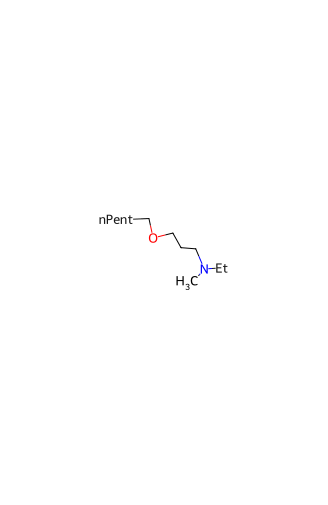 CCCCCCOCCCN(C)CC